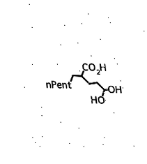 CCCCCCC(CCC(O)O)C(=O)O